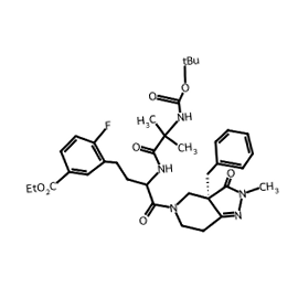 CCOC(=O)c1ccc(F)c(CCC(NC(=O)C(C)(C)NC(=O)OC(C)(C)C)C(=O)N2CCC3=NN(C)C(=O)[C@]3(Cc3ccccc3)C2)c1